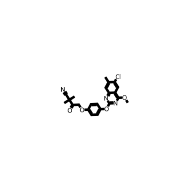 COc1nc(Oc2ccc(OCC(=O)C(C)(C)C#N)cc2)nc2cc(C)c(Cl)cc12